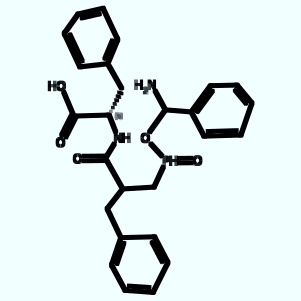 NC(O[PH](=O)CC(Cc1ccccc1)C(=O)N[C@@H](Cc1ccccc1)C(=O)O)c1ccccc1